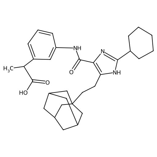 CC(C(=O)O)c1cccc(NC(=O)c2nc(C3CCCCC3)[nH]c2CCC23CC4CC(CC(C4)C2)C3)c1